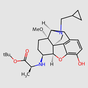 CO[C@@]12CC[C@H](N[C@@H](C)C(=O)OC(C)(C)C)[C@@H]3Oc4c(O)ccc5c4[C@@]31CCN(CC1CC1)[C@@H]2C5